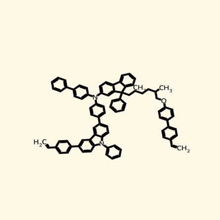 C=Cc1ccc(-c2ccc(OCC(C)CCC(C)CC3(c4ccccc4)c4ccccc4-c4ccc(N(c5ccc(-c6ccccc6)cc5)c5ccc(-c6ccc7c(c6)c6cc(-c8ccc(C=C)cc8)ccc6n7-c6ccccc6)cc5)cc43)cc2)cc1